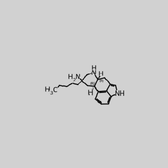 CCCCCC1(N)CN[C@@H]2Cc3c[nH]c4cccc(c34)[C@H]2C1